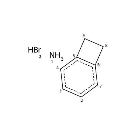 Br.N.c1ccc2c(c1)CC2